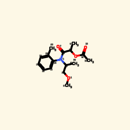 COCC(C)N(C(=O)C(C)OC(C)=O)c1ccccc1C